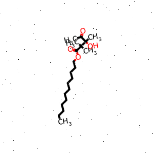 CCCCCCCCCCCCOC(=O)C(C)(C)C(C)(O)C(C)=O